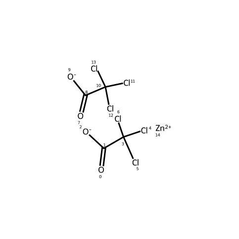 O=C([O-])C(Cl)(Cl)Cl.O=C([O-])C(Cl)(Cl)Cl.[Zn+2]